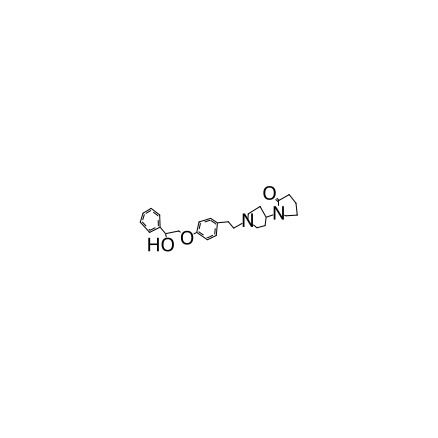 O=C1CCCCN1C1CCN(CCc2ccc(OCC(O)c3ccccc3)cc2)CC1